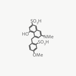 CNc1cc(Cc2ccc(OC)cc2S(=O)(=O)O)c2c(O)cc(S(=O)(=O)O)cc2c1